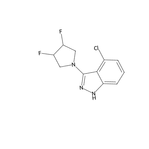 FC1CN(c2n[nH]c3cccc(Cl)c23)CC1F